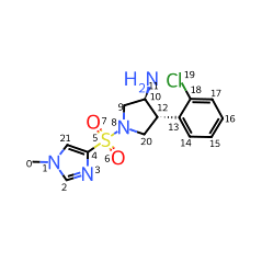 Cn1cnc(S(=O)(=O)N2C[C@@H](N)[C@H](c3ccccc3Cl)C2)c1